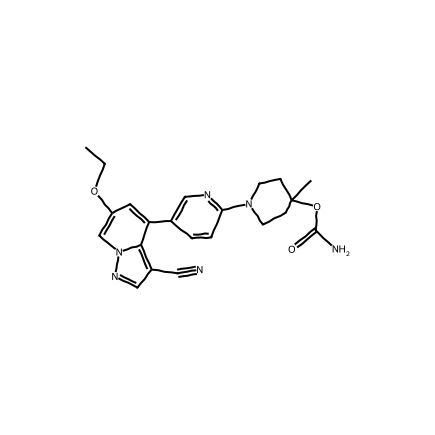 CCOc1cc(-c2ccc(N3CCC(C)(OC(N)=O)CC3)nc2)c2c(C#N)cnn2c1